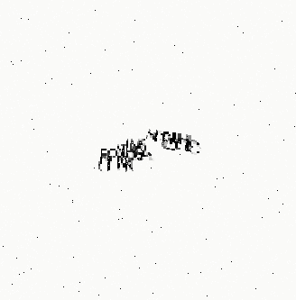 O=C(C=CCN1CCC(NC(=O)C2CCC(=O)O2)CC1)Nc1cc2c(Nc3ccc(F)c(Cl)c3)ncnc2cc1OCC1CC1